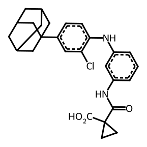 O=C(O)C1(C(=O)Nc2cccc(Nc3ccc(C45CC6CC(CC(C6)C4)C5)cc3Cl)c2)CC1